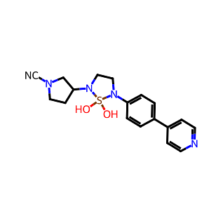 N#CN1CCC(N2CCN(c3ccc(-c4ccncc4)cc3)S2(O)O)C1